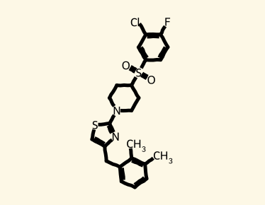 Cc1cccc(Cc2csc(N3CCC(S(=O)(=O)c4ccc(F)c(Cl)c4)CC3)n2)c1C